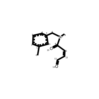 Cc1cccc(CN(C)C(=O)/C=C\C=O)c1